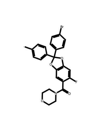 [CH2]c1ccc(C2(c3ccc(Br)cc3)Oc3cc(F)c(C(=O)N4CCOCC4)cc3O2)cc1